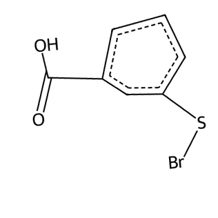 O=C(O)c1cccc(SBr)c1